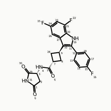 O=C1C[C@@H](NC(=O)[C@H]2C[C@H](c3c(-c4ccc(F)cc4)[nH]c4c(F)cc(F)cc43)C2)C(=O)N1